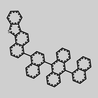 c1ccc2c(-c3c4ccccc4c(-c4ccc(-c5cccc6c5ccc5c7ccccc7sc65)c5ccccc45)c4ccccc34)cccc2c1